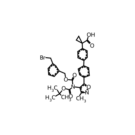 Cc1noc(-c2ccc(-c3ccc(C4(C(=O)O)CC4)cc3)cc2)c1N(C(=O)OCc1cccc(CBr)c1)C(=O)OC(C)(C)C